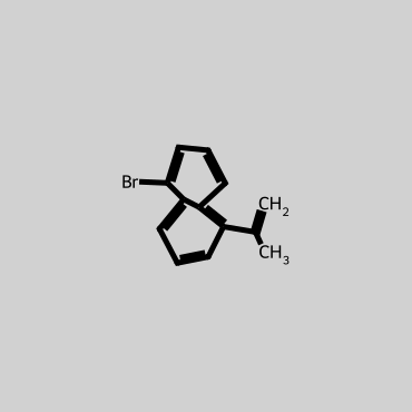 C=C(C)c1cccc2c(Br)cccc12